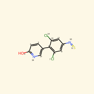 Oc1ccc(-c2c(Cl)cc(N=S)cc2Cl)cn1